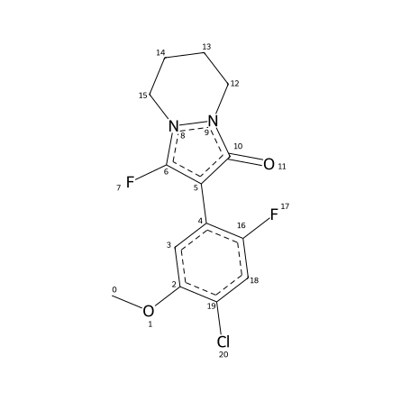 COc1cc(-c2c(F)n3n(c2=O)CCCC3)c(F)cc1Cl